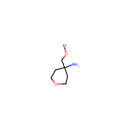 CCOCC1(N)CCOCC1